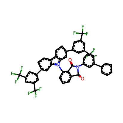 O=C1c2cccc(-n3c4cc(-c5cc(C(F)(F)F)cc(C(F)(F)F)c5)ccc4c4ccc(-c5cc(C(F)(F)F)cc(C(F)(F)F)c5)cc43)c2C(=O)N1c1cccc(-c2ccccc2)c1